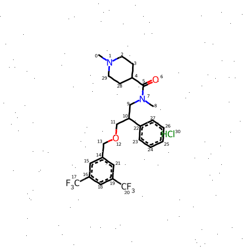 CN1CCC(C(=O)N(C)CC(COCc2cc(C(F)(F)F)cc(C(F)(F)F)c2)c2ccccc2)CC1.Cl